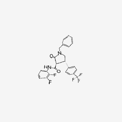 O=C(Nc1cccc(F)c1F)[C@H]1C(=O)N(Cc2ccccc2)C[C@@H]1c1ccc(C(F)(F)F)cc1